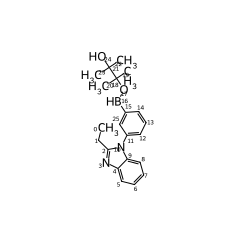 CCc1nc2ccccc2n1-c1cccc(BOC(C)(C)C(C)(C)O)c1